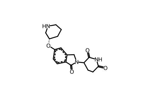 O=C1CCC(N2Cc3cc(O[C@H]4CCCNC4)ccc3C2=O)C(=O)N1